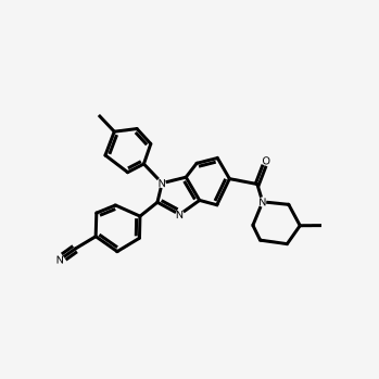 Cc1ccc(-n2c(-c3ccc(C#N)cc3)nc3cc(C(=O)N4CCCC(C)C4)ccc32)cc1